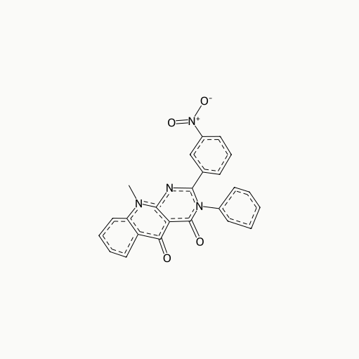 Cn1c2ccccc2c(=O)c2c(=O)n(-c3ccccc3)c(-c3cccc([N+](=O)[O-])c3)nc21